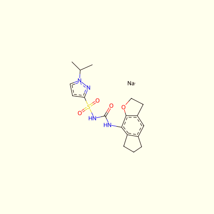 CC(C)n1ccc(S(=O)(=O)NC(=O)Nc2c3c(cc4c2OCC4)CCC3)n1.[Na]